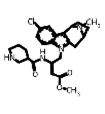 COC(=O)CC(Cn1c2c(c3cc(Cl)ccc31)C1CCC(C2)N1C)NC(=O)C1CCCNC1